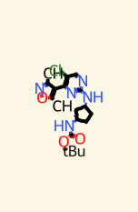 Cc1noc(C)c1-c1nc(N[C@H]2CC[C@@H](NC(=O)OC(C)(C)C)C2)ncc1Cl